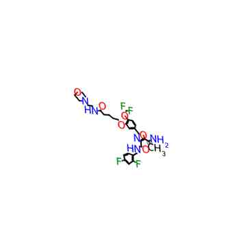 C[C@H](N)c1oc(-c2ccc(OC(F)F)c(OCCCCC(=O)NCCN3CCOCC3)c2)nc1C(=O)NCc1ccc(F)cc1F